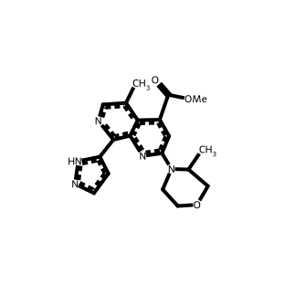 COC(=O)c1cc(N2CCOCC2C)nc2c(-c3ccn[nH]3)ncc(C)c12